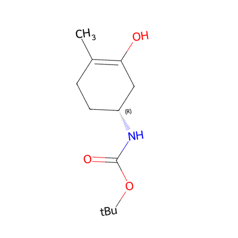 CC1=C(O)C[C@H](NC(=O)OC(C)(C)C)CC1